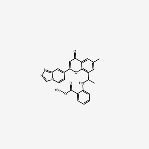 Cc1cc(C(C)Nc2ccccc2C(=O)OC(C)(C)C)c2oc(-c3ccn4cnnc4c3)cc(=O)c2c1